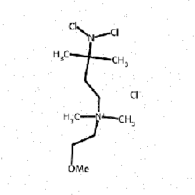 COCC[N+](C)(C)CCC(C)(C)N(Cl)Cl.[Cl-]